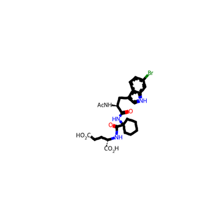 CC(=O)N[C@@H](Cc1c[nH]c2cc(Br)ccc12)C(=O)NC1(C(=O)N[C@@H](CCC(=O)O)C(=O)O)CCCCC1